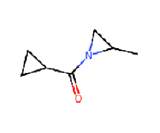 CC1CN1C(=O)C1CC1